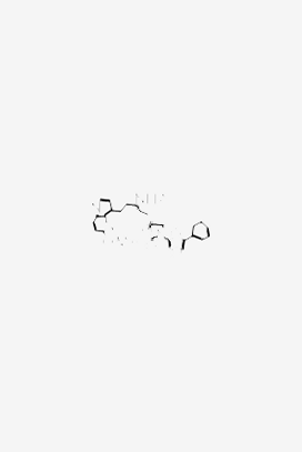 COc1ccc2nccc(CC[C@@H](CC[C@H]3CN(C4=COC=C(C5=CC=CCC5)O4)C(=O)O3)NC(C)=O)c2n1